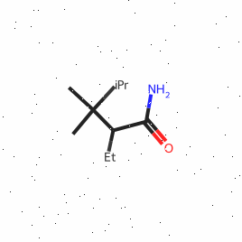 CCC(C(N)=O)C(C)(C)C(C)C